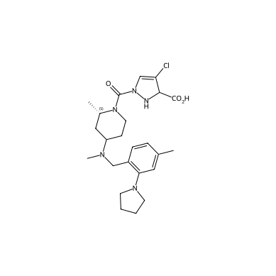 Cc1ccc(CN(C)C2CCN(C(=O)N3C=C(Cl)C(C(=O)O)N3)[C@@H](C)C2)c(N2CCCC2)c1